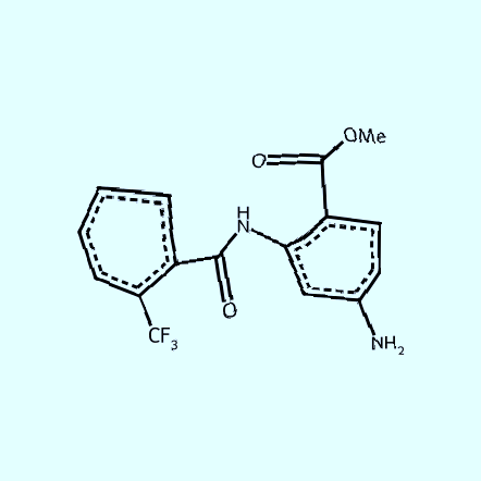 COC(=O)c1ccc(N)cc1NC(=O)c1ccccc1C(F)(F)F